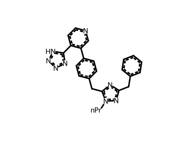 CCCn1nc(Cc2ccccc2)nc1Cc1ccc(-c2cnccc2-c2nnn[nH]2)cc1